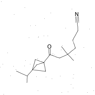 CC(C)C12CC(C(=O)CC(C)(C)CCCC#N)(C1)C2